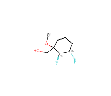 CCOC1(CO)CCC[C@H](F)[C@H]1F